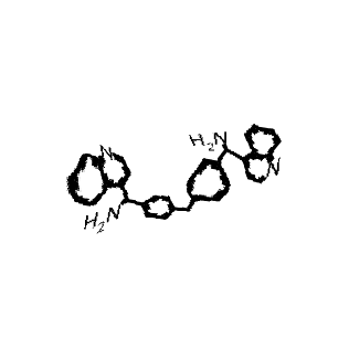 NC(c1ccc(Cc2ccc(C(N)c3ccnc4ccccc34)cc2)cc1)c1ccnc2ccccc12